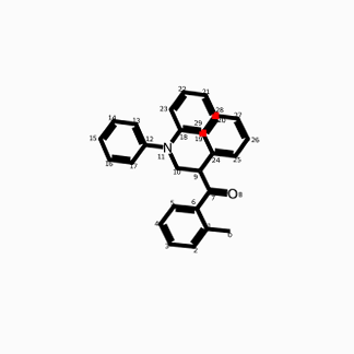 Cc1ccccc1C(=O)C(CN(c1ccccc1)c1ccccc1)c1ccccc1